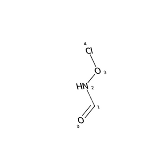 O=CNOCl